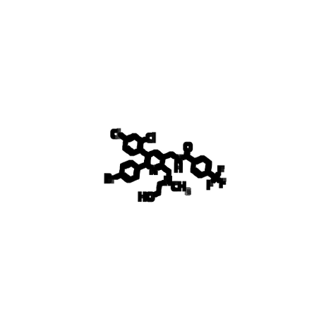 CN(CCO)Cc1nc(-c2ccc(Br)cc2)c(-c2ccc(Cl)cc2Cl)cc1CNC(=O)c1ccc(C(F)(F)F)cc1